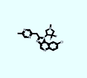 Cc1cnc(Cc2nc3cnc4ccc(Cl)cc4c3n2C2CN(C)CC2(F)F)cn1